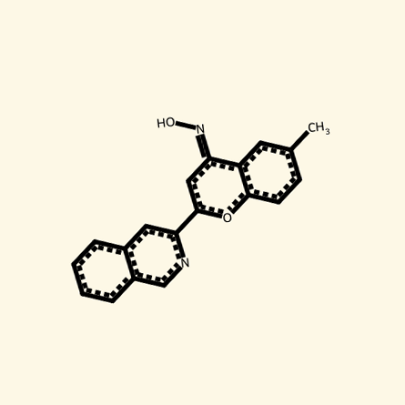 Cc1ccc2oc(-c3cc4ccccc4cn3)c/c(=N\O)c2c1